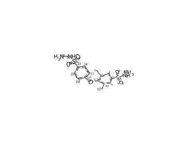 Cc1cc(S(=O)(=O)NN)cc(C)c1Oc1ccc(S(=O)(=O)NN)cc1